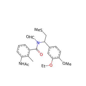 CCOc1cc(C(CSC)N(C=O)C(=O)c2cccc(NC(C)=O)c2C)ccc1OC